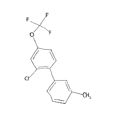 Cc1cccc(-c2ccc(OC(F)(F)F)cc2Cl)c1